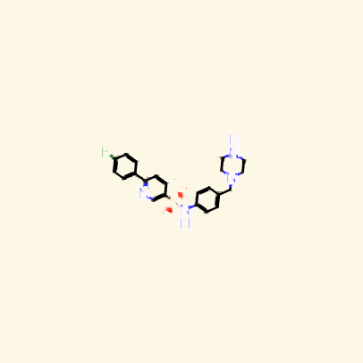 C[C@@H]1CN(Cc2ccc(NS(=O)(=O)c3ccc(-c4ccc(F)cc4)nc3)cc2)C[C@H](C)N1